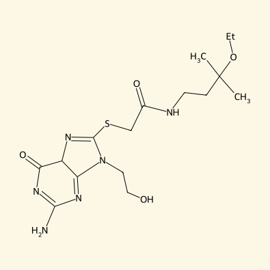 CCOC(C)(C)CCNC(=O)CSC1=NC2C(=O)N=C(N)N=C2N1CCO